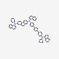 c1ccc(N(c2ccc(-c3ccc(-c4ccc(N(c5ccc6c(ccc7cc(N(c8ccccc8)c8cccc9ccccc89)ccc76)c5)c5cccc6ccccc56)cc4)cc3)cc2)c2cccc3ccccc23)cc1